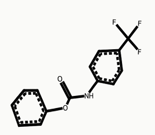 O=C(Nc1ccc(C(F)(F)F)cc1)Oc1ccccc1